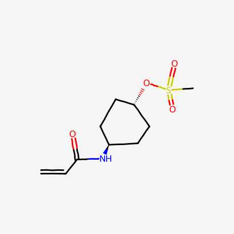 C=CC(=O)N[C@H]1CC[C@H](OS(C)(=O)=O)CC1